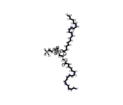 CC/C=C\C/C=C\C/C=C\C/C=C\CCCCC(=O)OC[C@H](COP(=O)([O-])OCC[N+](C)(C)C)OC(=O)CCCCCC/C=C\C/C=C\C/C=C\CCCCC